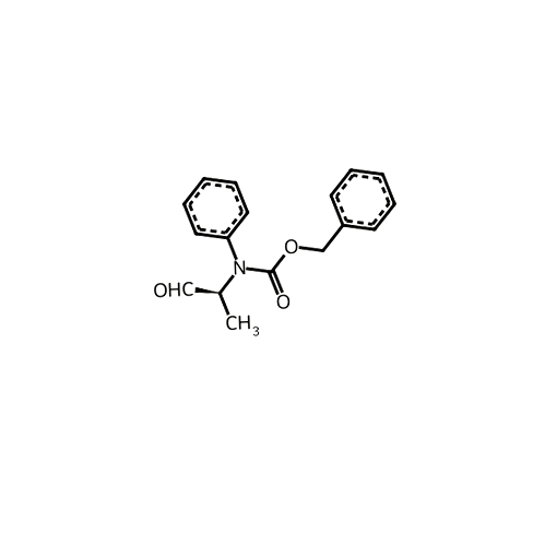 C[C@@H](C=O)N(C(=O)OCc1ccccc1)c1ccccc1